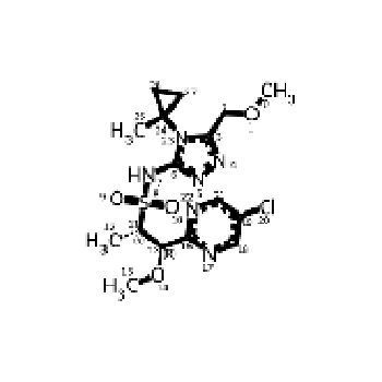 COCc1nnc(NS(=O)(=O)[C@@H](C)[C@H](OC)c2ncc(Cl)cn2)n1C1(C)CC1